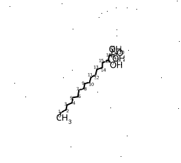 CCCCCCCCCCCCCCCCC(O)CP(=O)(O)O